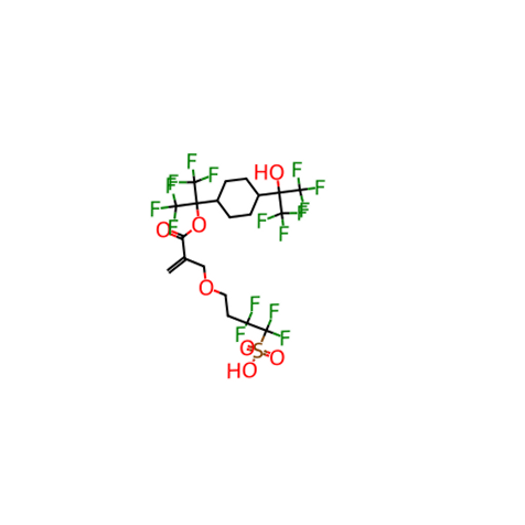 C=C(COCCC(F)(F)C(F)(F)S(=O)(=O)O)C(=O)OC(C1CCC(C(O)(C(F)(F)F)C(F)(F)F)CC1)(C(F)(F)F)C(F)(F)F